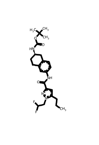 CCCc1cc(C(=O)Nc2ccc3c(c2)CC[C@@H](NC(=O)OC(C)(C)C)C3)nn1CC(F)F